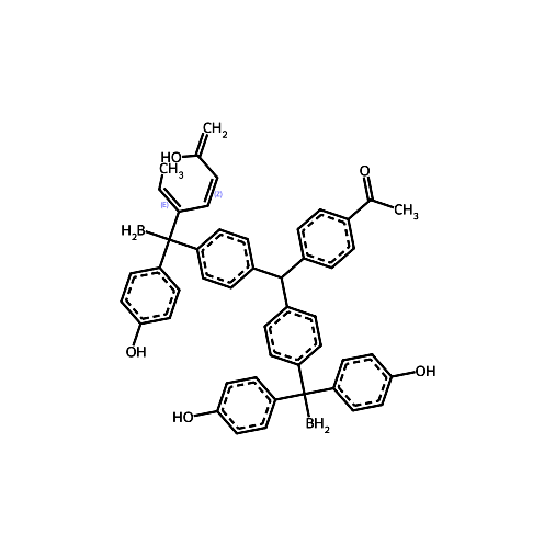 BC(C(/C=C\C(=C)O)=C/C)(c1ccc(O)cc1)c1ccc(C(c2ccc(C(C)=O)cc2)c2ccc(C(B)(c3ccc(O)cc3)c3ccc(O)cc3)cc2)cc1